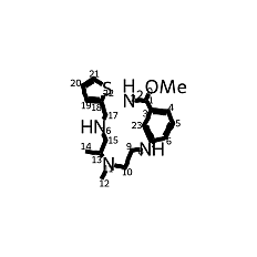 COC(N)c1cccc(NCCN(C)C(C)CNCc2cccs2)c1